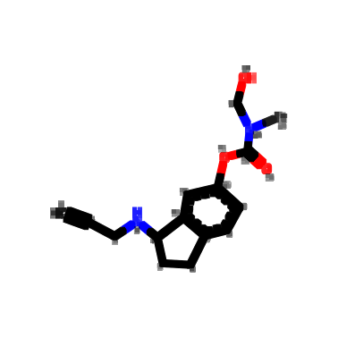 C#CCNC1CCc2ccc(OC(=O)N(CC)CO)cc21